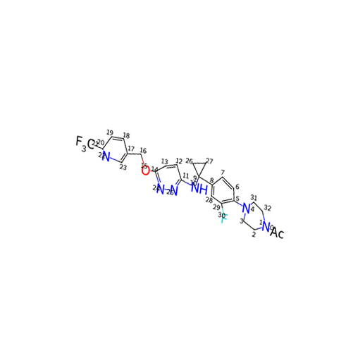 CC(=O)N1CCN(c2ccc(C3(Nc4ccc(OCc5ccc(C(F)(F)F)nc5)nn4)CC3)cc2F)CC1